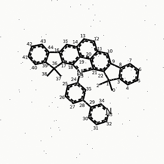 CC1(C)c2ccccc2-c2cc3ccc4cc5c(c6c4c3c(c21)n6-c1cccc(-c2cccnc2)c1)C(C)(C)c1ccccc1-5